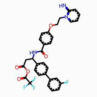 N=c1ccccn1CCOc1ccc(C(=O)NC(CC(=O)OC(=O)C(F)(F)F)c2ccc(-c3cccc(F)c3)cc2)cc1